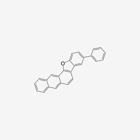 c1ccc(-c2ccc3oc4c5cc6ccccc6cc5ccc4c3c2)cc1